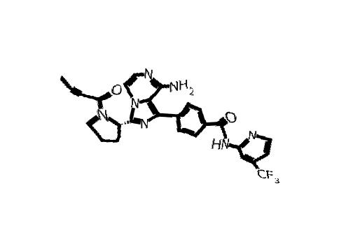 CC#CC(=O)N1CCC[C@H]1c1nc(-c2ccc(C(=O)Nc3cc(C(F)(F)F)ccn3)cc2)c2c(N)nccn12